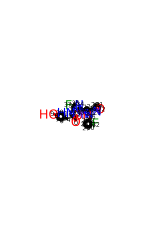 O=C(O)[C@H](Cc1ccc(O)cc1)Nc1nc(-c2cc(-c3ccon3)n(Cc3ccccc3F)n2)ncc1F